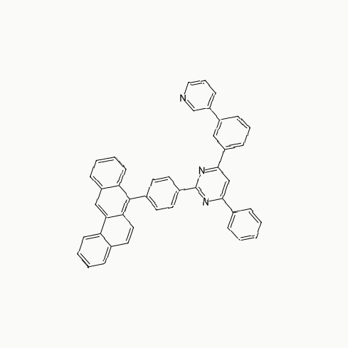 c1ccc(-c2cc(-c3cccc(-c4cccnc4)c3)nc(-c3ccc(-c4c5ccccc5cc5c4ccc4ccccc45)cc3)n2)cc1